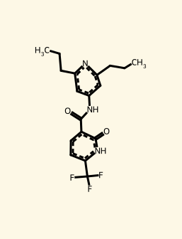 CCCc1cc(NC(=O)c2ccc(C(F)(F)F)[nH]c2=O)cc(CCC)n1